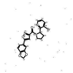 O=C(c1cc(-c2ccc3c(c2)OCO3)on1)N1CCCC1c1ncccc1Br